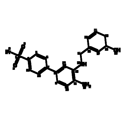 CC(C)S(=O)(=O)c1ccc(-c2cnc(N)c(NCC3=CC(O)CC=C3)n2)cc1